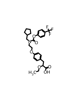 CCOC(Cc1ccc(OCCN(CC2CCCC2)C(=O)Oc2ccc(C(F)(F)F)cc2)cc1)C(=O)O